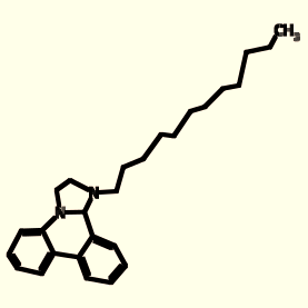 CCCCCCCCCCCCN1CCN2c3ccccc3-c3ccccc3C12